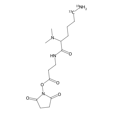 CN(C)C(CCC[13CH2][15NH2])C(=O)NCCC(=O)ON1C(=O)CCC1=O